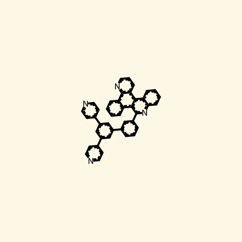 c1cc(-c2cc(-c3ccncc3)cc(-c3ccncc3)c2)cc(-c2nc3ccccc3c3c4cccnc4c4ccccc4c23)c1